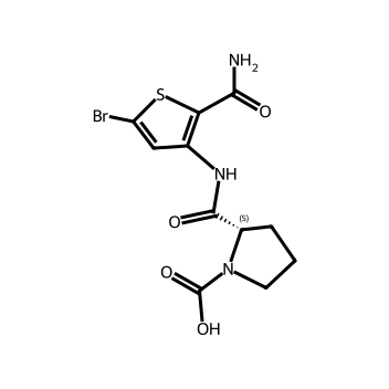 NC(=O)c1sc(Br)cc1NC(=O)[C@@H]1CCCN1C(=O)O